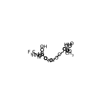 Cn1c(=O)n([C@H]2CCC(=O)NC2=O)c2cccc(CCCOCCOCCN3CCN(Cc4ccc(-c5cn([C@H]6CC[C@H](O)CC6)c6nc(NCCC(F)(F)F)ncc56)cc4)CC3)c21